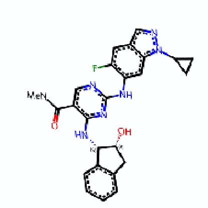 CNC(=O)c1cnc(Nc2cc3c(cnn3C3CC3)cc2F)nc1N[C@H]1c2ccccc2C[C@H]1O